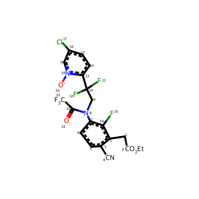 CCOC(=O)Cc1c(C#N)ccc(N(CC(F)(F)c2ccc(Cl)c[n+]2[O-])C(=O)C(F)(F)F)c1F